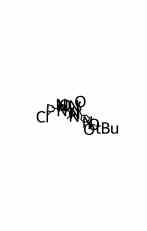 Cc1nn2c(C3CCN(C(=O)OC(C)(C)C)CC3)cc(=O)[nH]c2c1-c1nc(-c2cccc(Cl)c2)no1